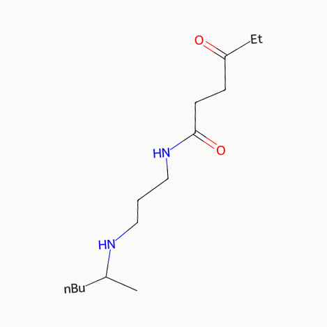 CCCCC(C)NCCCNC(=O)CCC(=O)CC